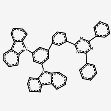 c1ccc(-c2nc(-c3ccccc3)nc(-c3cccc(-c4cc(-n5c6ccccc6c6ccccc65)cc(-n5c6ccccc6c6ccccc65)c4)c3)n2)cc1